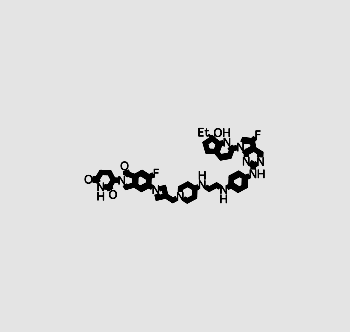 CC[C@@]1(O)CCc2ccc(-n3cc(F)c4cnc(Nc5ccc(NCCNC6CCN(CC7CN(c8cc9c(cc8F)C(=O)N(C8CCC(=O)NC8=O)C9)C7)CC6)cc5)nc43)nc21